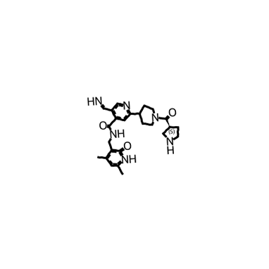 Cc1cc(C)c(CNC(=O)c2cc(C3CCN(C(=O)[C@H]4CCNC4)CC3)ncc2C=N)c(=O)[nH]1